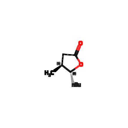 CCCC[C@H]1OC(=O)C[C@@H]1C